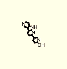 Oc1ccc(-c2ccc3c(n2)[nH]c2ccncc23)cn1